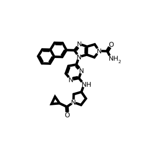 NC(=O)N1Cc2nc(-c3ccc4ccccc4c3)n(-c3ccnc(NC4CCN(C(=O)C5CC5)C4)n3)c2C1